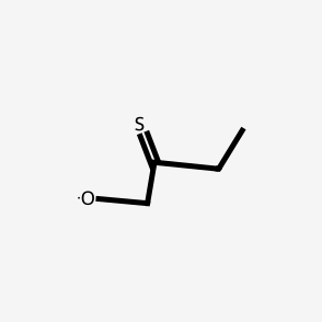 CCC(=S)C[O]